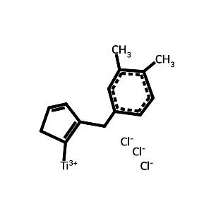 Cc1ccc(CC2=[C]([Ti+3])CC=C2)cc1C.[Cl-].[Cl-].[Cl-]